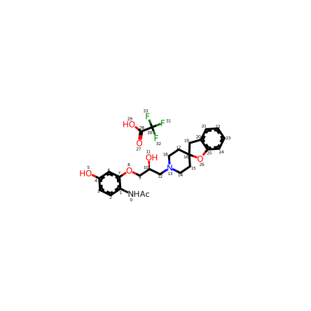 CC(=O)Nc1ccc(O)cc1OC[C@@H](O)CN1CCC2(CC1)Cc1ccccc1O2.O=C(O)C(F)(F)F